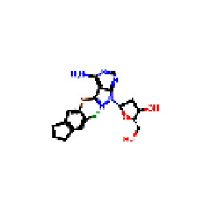 Nc1ncnc2c1c(Sc1cc3c(cc1F)CCC3)nn2[C@H]1CC(O)[C@@H](CO)O1